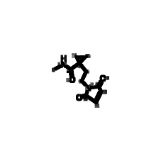 CNC(=O)C1(CCN2C(=O)C=CC2=O)CC1